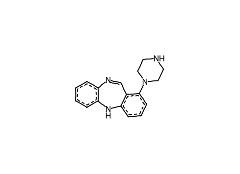 C1=Nc2ccccc2Nc2cccc(N3CCNCC3)c21